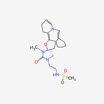 CN1C(=O)N(CCNS(C)(=O)=O)C[C@]12CC13CCCCC1=CN1C=CCCC1=C3O2